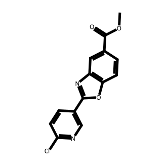 COC(=O)c1ccc2oc(-c3ccc(Cl)nc3)nc2c1